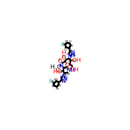 CN(C(=O)C1OC(CO)C(O)C(n2cc(-c3cccc(F)c3)nn2)C1O)[C@H]1CNC[C@@H](n2cc(-c3cccc(F)c3)nn2)[C@@H]1O